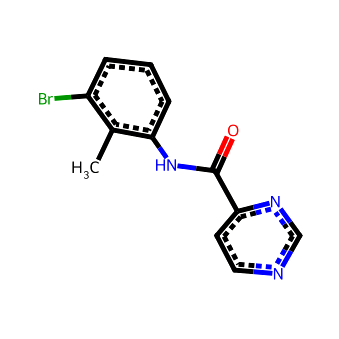 Cc1c(Br)cccc1NC(=O)c1ccncn1